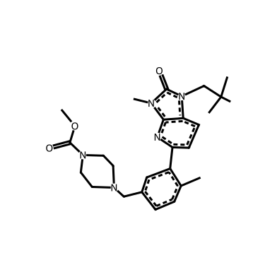 COC(=O)N1CCN(Cc2ccc(C)c(-c3ccc4c(n3)n(C)c(=O)n4CC(C)(C)C)c2)CC1